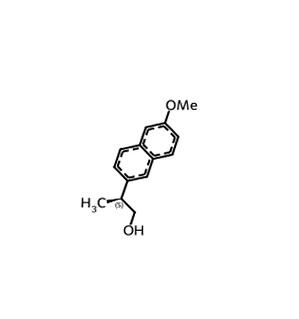 COc1ccc2cc([C@H](C)CO)ccc2c1